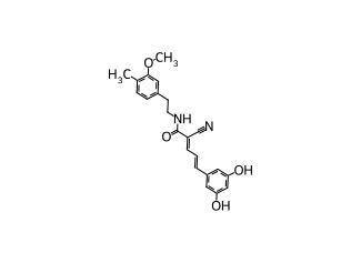 COc1cc(CCNC(=O)/C(C#N)=C/C=C/c2cc(O)cc(O)c2)ccc1C